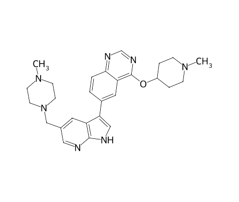 CN1CCC(Oc2ncnc3ccc(-c4c[nH]c5ncc(CN6CCN(C)CC6)cc45)cc23)CC1